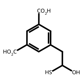 O=C(O)c1cc(CC(O)S)cc(C(=O)O)c1